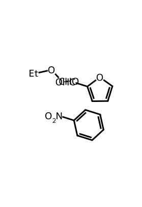 CCOC=O.O=Cc1ccco1.O=[N+]([O-])c1ccccc1